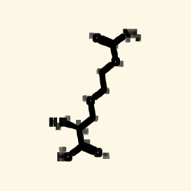 NC(=O)OCCOC[C@H](N)C(=O)O